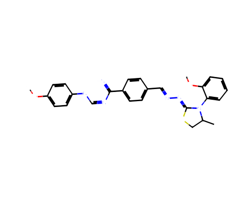 CC1CS/C(=N\N=C\c2ccc(C(=N)/N=C\Nc3ccc(OC(F)(F)F)cc3)cc2)N1c1ccccc1OC(F)(F)F